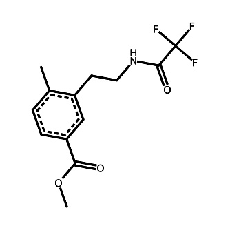 COC(=O)c1ccc(C)c(CCNC(=O)C(F)(F)F)c1